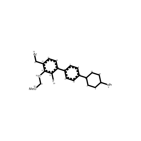 CCCC1CCC(c2ccc(-c3ccc(CC(C)=O)c(OCOC)c3F)cc2)CC1